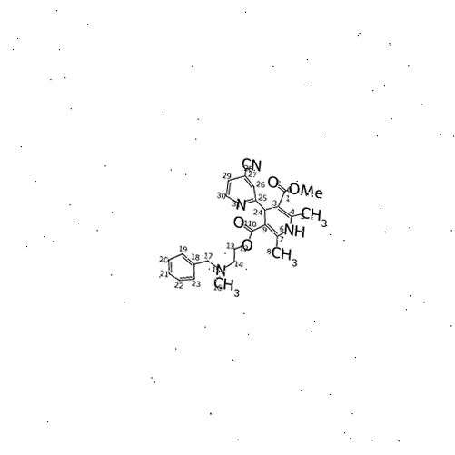 COC(=O)C1=C(C)NC(C)=C(C(=O)OCCN(C)Cc2ccccc2)C1c1cc(C#N)ccn1